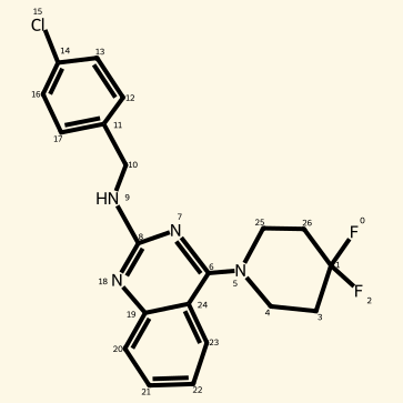 FC1(F)CCN(c2nc(NCc3ccc(Cl)cc3)nc3ccccc23)CC1